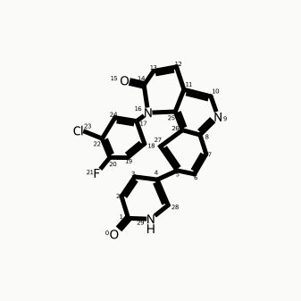 O=c1ccc(-c2ccc3ncc4ccc(=O)n(-c5ccc(F)c(Cl)c5)c4c3c2)c[nH]1